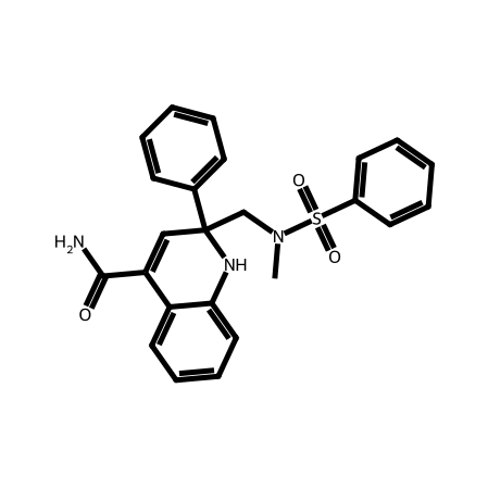 CN(CC1(c2ccccc2)C=C(C(N)=O)c2ccccc2N1)S(=O)(=O)c1ccccc1